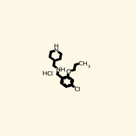 CCCOc1cc(Cl)ccc1CNCC1CCNCC1.Cl